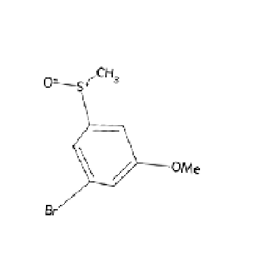 COc1cc(Br)cc([S+](C)[O-])c1